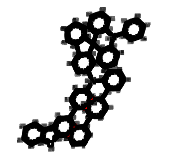 c1ccc(-c2ccc(-c3ccccc3N(c3ccc(-c4ccc5oc6ccccc6c5c4)cc3)c3ccc4c(c3)C3(c5ccccc5-4)c4ccccc4N(c4ccccc4)c4ccccc43)cc2)cc1